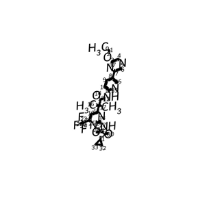 CCOc1cncc(-c2ccc(NC(=O)C(C)(C)c3cc(C(F)(F)F)nc(NS(=O)(=O)C4CC4)n3)nc2)n1